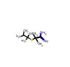 CC(C)C(C)(C)SC(C)(C)C(=N)N